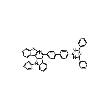 c1ccc(-c2nc(-c3ccccc3)nc(-c3ccc(-c4ccc(-c5nc6sc7ccccc7c6c6c5c5ccccc5n6-c5ccccc5)cc4)cc3)n2)cc1